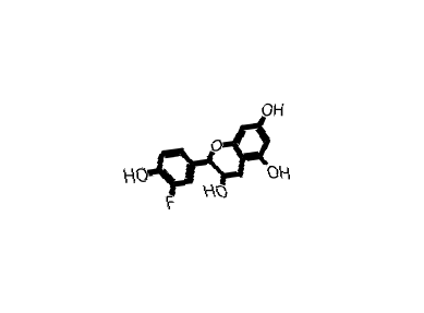 Oc1cc(O)c2c(c1)OC(c1ccc(O)c(F)c1)C(O)C2